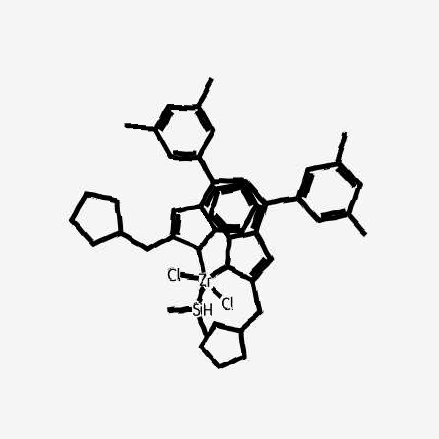 Cc1cc(C)cc(-c2cccc3c2C=C(CC2CCCC2)[CH]3[Zr]([Cl])([Cl])([CH]2C(CC3CCCC3)=Cc3c(-c4cc(C)cc(C)c4)cccc32)[SiH](C)C)c1